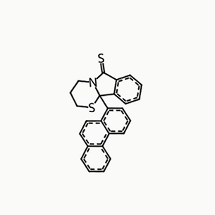 S=C1c2ccccc2C2(c3cccc4c3ccc3ccccc34)SCCCN12